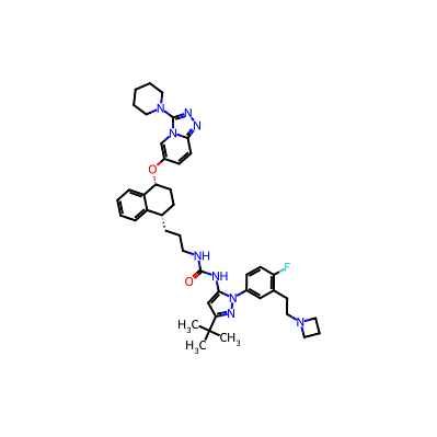 CC(C)(C)c1cc(NC(=O)NCCC[C@H]2CC[C@@H](Oc3ccc4nnc(N5CCCCC5)n4c3)c3ccccc32)n(-c2ccc(F)c(CCN3CCC3)c2)n1